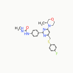 CNC(=O)Nc1ccc(-c2nc(CSc3ccc(F)cc3)cc(N3CCOC[C@@H]3C)n2)cc1